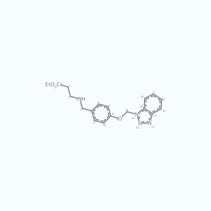 CCOC(=O)CCNCc1ccc(OCn2nnc3ccccc32)cc1